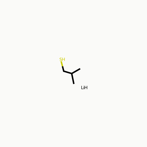 CC(C)CS.[LiH]